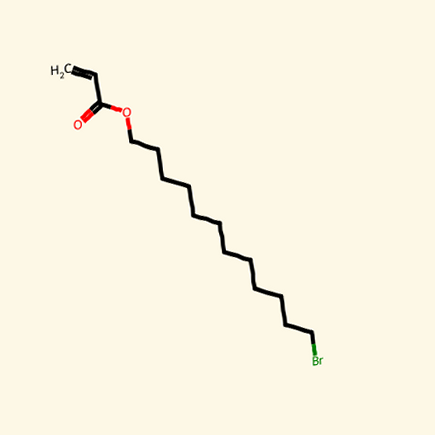 C=CC(=O)OCCCCCCCCCCCCBr